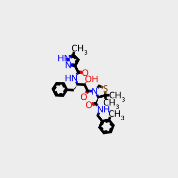 Cc1cc(C(=O)N[C@@H](Cc2ccccc2)[C@H](O)C(=O)N2CSC(C)(C)[C@H]2C(=O)NCc2ccccc2C)n[nH]1